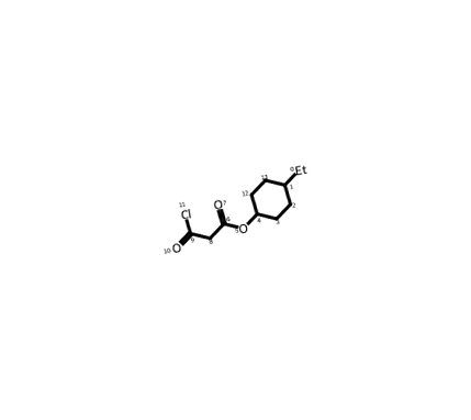 CCC1CCC(OC(=O)CC(=O)Cl)CC1